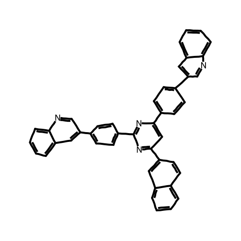 c1ccc2cc(-c3cc(-c4ccc(-c5cnc6ccccc6c5)cc4)nc(-c4ccc(-c5cnc6ccccc6c5)cc4)n3)ccc2c1